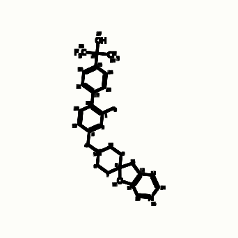 Cc1cc(CN2CCC3(CC2)Cc2ccncc2O3)ccc1-c1ccc(C(O)(C(F)(F)F)C(F)(F)F)cc1